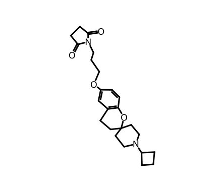 O=C1CCC(=O)N1CCCOc1ccc2c(c1)CCC1(CCN(C3CCC3)CC1)O2